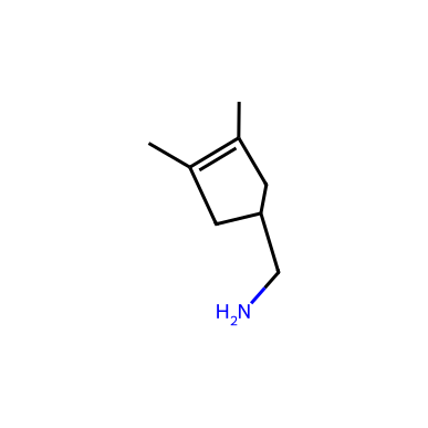 CC1=C(C)CC(CN)C1